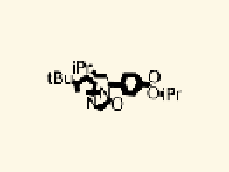 CC(C)CC[C@H](C1=CC=C(C(=O)OC(C)C)CC1)N1C(=O)C=NC1(C)CCC(C)C(C)(C)C